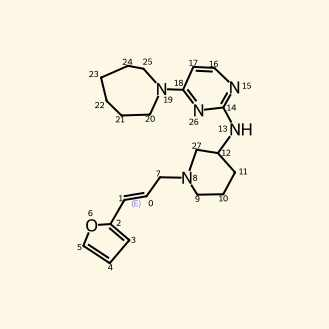 C(=C\c1ccco1)/CN1CCCC(Nc2nccc(N3CCCCCC3)n2)C1